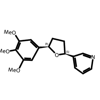 COc1cc([C@H]2CC[C@@H](c3cccnc3)O2)cc(OC)c1OC